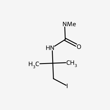 CNC(=O)NC(C)(C)CI